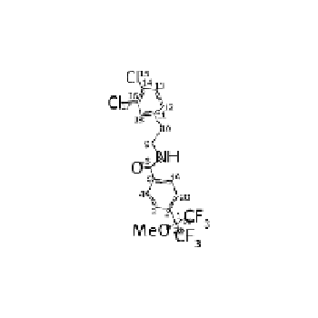 COC(c1ccc(C(=O)NCCc2ccc(Cl)c(Cl)c2)cc1)(C(F)(F)F)C(F)(F)F